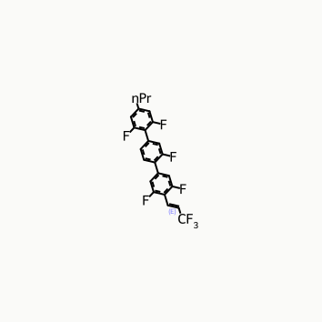 CCCc1cc(F)c(-c2ccc(-c3cc(F)c(/C=C/C(F)(F)F)c(F)c3)c(F)c2)c(F)c1